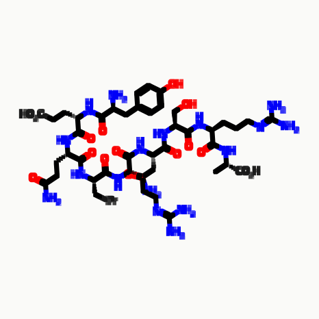 CC(C)C[C@H](NC(=O)[C@H](CCC(N)=O)NC(=O)[C@H](CCC(=O)O)NC(=O)[C@@H](N)Cc1ccc(O)cc1)C(=O)N[C@@H](CCCN=C(N)N)C(=O)N[C@@H](CC(N)=O)C(=O)N[C@@H](CO)C(=O)N[C@@H](CCCN=C(N)N)C(=O)N[C@@H](C)C(=O)O